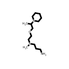 CC(COCCN(C)CCCN)N1CCCCC1